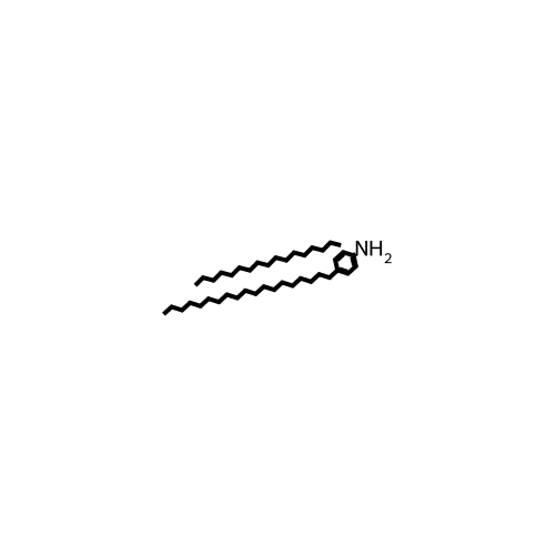 CCCCCCCCCCCCCCCCC.CCCCCCCCCCCCCCCCCCCc1ccc(N)cc1